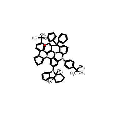 CC(C)(C)c1ccc(-c2ccccc2N2c3cc(N4c5ccccc5C5(C)CCCCC45C)cc4c3B3c5c(cccc5C(c5ccccc5)(c5ccccc5)c5cccc2c53)N4c2ccc(C(C)(C)C)cc2)cc1